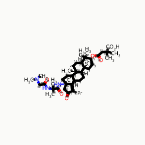 CC(C)C1=C2[C@H]3CC[C@@H]4[C@@]5(C)CC[C@H](OC(=O)CC(C)(C)C(=O)O)C(C)(C)[C@@H]5CC[C@@]4(C)[C@]3(C)CC[C@@]2(NC(=O)C(C)(C)NC(=O)CN(C)C)CC1=O